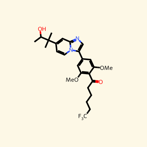 COc1cc(-c2cnc3cc(C(C)(C)C(C)O)ccn23)cc(OC)c1C(=O)CCCCC(F)(F)F